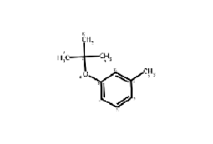 Cc1c[c]cc(OC(C)(C)C)c1